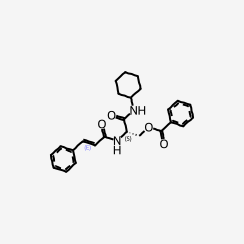 O=C(/C=C/c1ccccc1)N[C@@H](COC(=O)c1ccccc1)C(=O)NC1CCCCC1